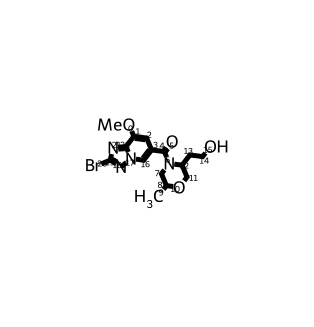 COc1cc(C(=O)N2CC(C)OCC2CCO)cn2nc(Br)nc12